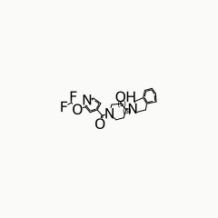 O=C(c1ccnc(OC(F)F)c1)N1CC[C@H](N2CCc3ccccc3C2)[C@@H](O)C1